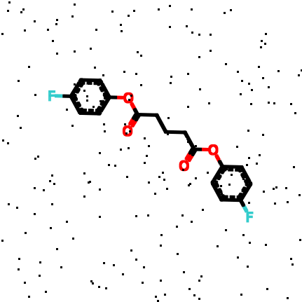 O=C(CCCC(=O)Oc1ccc(F)cc1)Oc1ccc(F)cc1